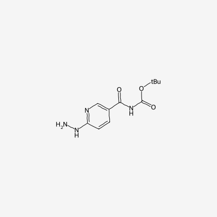 CC(C)(C)OC(=O)NC(=O)c1ccc(NN)nc1